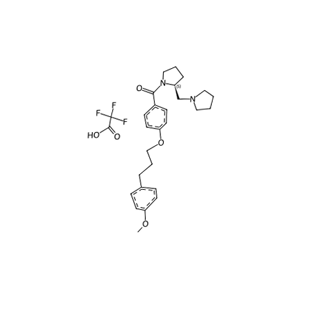 COc1ccc(CCCOc2ccc(C(=O)N3CCC[C@H]3CN3CCCC3)cc2)cc1.O=C(O)C(F)(F)F